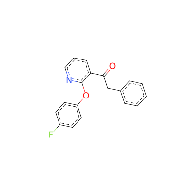 O=C(Cc1ccccc1)c1cccnc1Oc1ccc(F)cc1